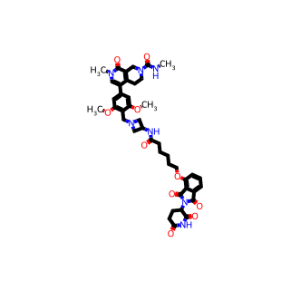 CNC(=O)N1CCc2c(-c3cc(OC)c(CN4CC(NC(=O)CCCCCOc5cccc6c5C(=O)N(C5CCC(=O)NC5=O)C6=O)C4)c(OC)c3)cn(C)c(=O)c2C1